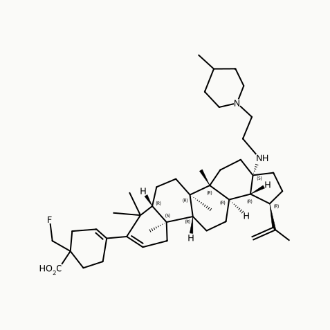 C=C(C)[C@@H]1CC[C@]2(NCCN3CCC(C)CC3)CC[C@]3(C)[C@H](CC[C@@H]4[C@@]5(C)CC=C(C6=CCC(CF)(C(=O)O)CC6)C(C)(C)[C@@H]5CC[C@]43C)[C@@H]12